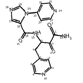 NC(=O)C(=O)C(Cc1ccncc1)NC(=O)c1cncn1-c1ccncc1